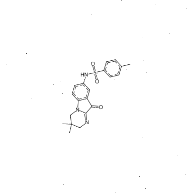 Cc1ccc(S(=O)(=O)Nc2ccc3c(c2)C(=O)C2=NCC(C)(C)CN23)cc1